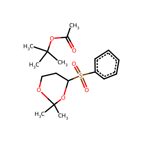 CC(=O)OC(C)(C)C.CC1(C)OCCC(S(=O)(=O)c2ccccc2)O1